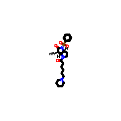 CCC[C@H]1C(=O)N(S(=O)(=O)c2ccccc2)[C@H]2CCN(C(=O)CCCCCN3CCCCC3)[C@H]12